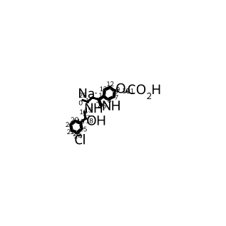 CC(Cc1c[nH]c2cc(OCC(=O)O)ccc12)NCC(O)c1cccc(Cl)c1.[Na]